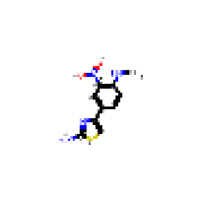 CNc1ccc(-c2csc(N)n2)cc1[N+](=O)[O-]